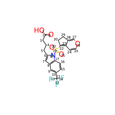 O=C(O)CCCc1cc2cc(C(F)(F)F)ccc2n1S(=O)(=O)C1=C2C=COC=C2CC1